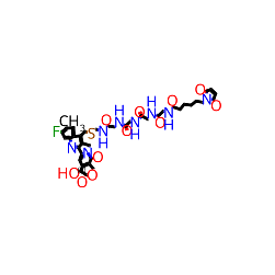 Cc1cc2c(CSCNC(=O)CNC(=O)CNC(=O)CNC(=O)CNC(=O)CCCCCN3C(=O)C=CC3=O)c3c(nc2cc1F)-c1cc2c(c(=O)n1C3)COC(=O)[C@H]2O